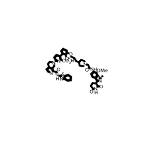 COc1c(NC(=O)CN2CCC(CCCOc3cccc(-c4ccc(N5CCc6ccnc(C(=O)Nc7nc8ccccc8s7)c6C5)nc4C(=O)O)c3C(F)(F)F)CC2)ccc2c(C3CCC(=O)NC3=O)nn(C)c12